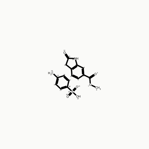 COC(=O)c1ccc2c(c1)NC(=O)C2.Cc1ccc(S(=O)(=O)O)cc1